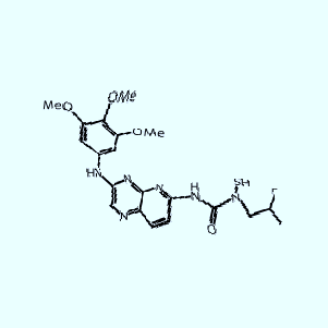 COc1cc(Nc2cnc3ccc(NC(=O)N(S)CC(C)F)nc3n2)cc(OC)c1OC